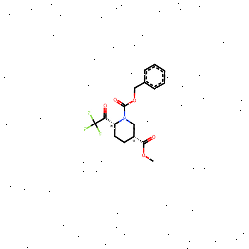 COC(=O)[C@@H]1CC[C@H](C(=O)C(F)(F)F)N(C(=O)OCc2ccccc2)C1